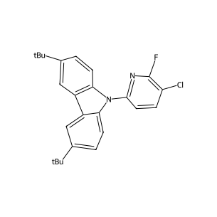 CC(C)(C)c1ccc2c(c1)c1cc(C(C)(C)C)ccc1n2-c1ccc(Cl)c(F)n1